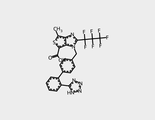 Cc1sc(C(=O)O)c2c1nc(C(F)(F)C(F)(F)C(F)(F)F)n2Cc1ccc(-c2ccccc2-c2nnn[nH]2)cc1